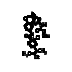 CC/C(C)=C(\C)c1cnc(C(=O)Nc2ccc3c(c2)C2(COC(NC(=O)OC(C)(C)C)=N2)C2(CC2)CO3)c(Cl)c1